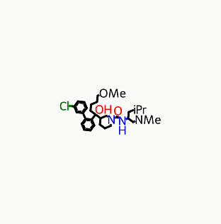 CNCC(CC(C)C)NC(=O)N1CCCC(C(O)(CCCCOC)c2ccccc2-c2cccc(Cl)c2)C1